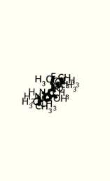 CC(Cc1c(CO)ccc(N(N)C(C)(C)C)c1N)N(CC(C)(C)F)C(=O)OC(C)(C)C